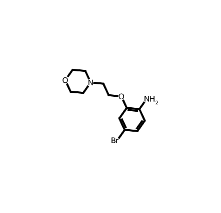 Nc1ccc(Br)cc1OCCN1CCOCC1